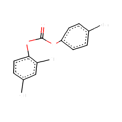 Cc1ccc(OC(=O)Oc2ccc(C(C)(C)C)cc2)c(C)c1